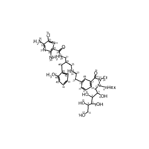 CCCCCCN(CC(O)C(O)C(O)C(O)CO)N(CC)C(=O)c1cccc(CCNCC(CNC(=O)c2nc(Cl)c(N)nc2N)Cc2ccccc2C)c1